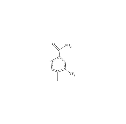 Cc1ccc(C(N)=O)cc1C(F)(F)F